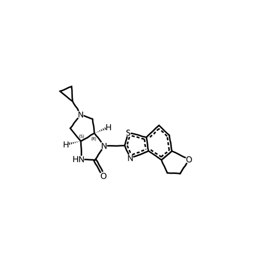 O=C1N[C@H]2CN(C3CC3)C[C@H]2N1c1nc2c3c(ccc2s1)OCC3